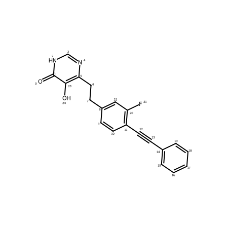 O=c1[nH]cnc(CCc2ccc(C#Cc3ccccc3)c(F)c2)c1O